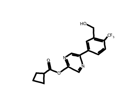 O=C(Oc1cnc(-c2ccc(C(F)(F)F)c(CO)c2)cn1)C1CCC1